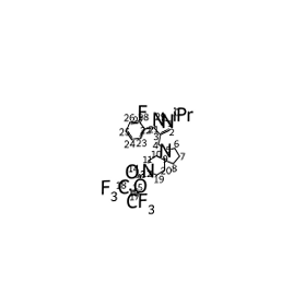 CC(C)n1cc(CN2CCCC23CCN(C(=O)OC(C(F)(F)F)C(F)(F)F)CC3)c(-c2ccccc2F)n1